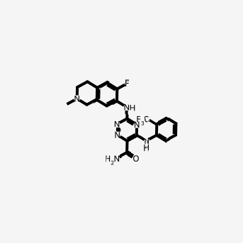 CN1CCc2cc(F)c(Nc3nnc(C(N)=O)c(Nc4ccccc4C(F)(F)F)n3)cc2C1